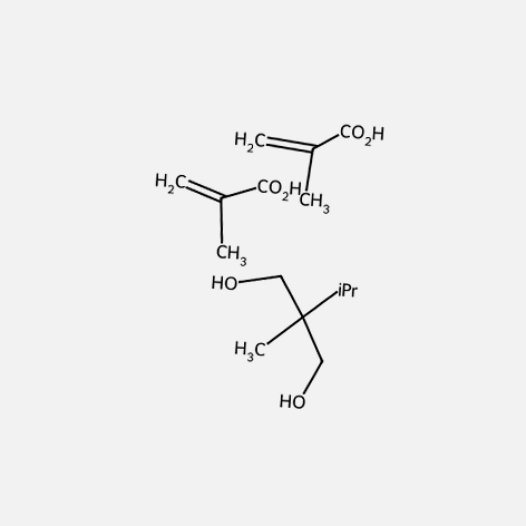 C=C(C)C(=O)O.C=C(C)C(=O)O.CC(C)C(C)(CO)CO